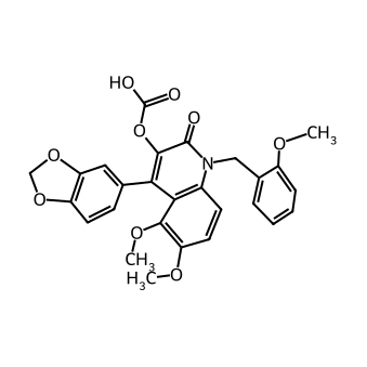 COc1ccccc1Cn1c(=O)c(OC(=O)O)c(-c2ccc3c(c2)OCO3)c2c(OC)c(OC)ccc21